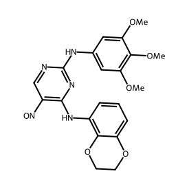 COc1cc(Nc2ncc(N=O)c(Nc3cccc4c3OCCO4)n2)cc(OC)c1OC